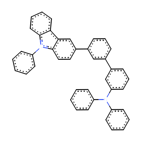 c1ccc(N(c2ccccc2)c2cccc(-c3cccc(-c4ccc5c(c4)c4ccccc4n5-c4ccccc4)c3)c2)cc1